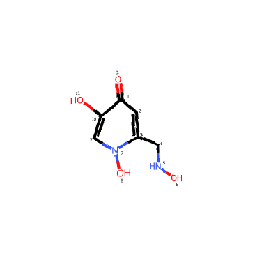 O=c1cc(CNO)n(O)cc1O